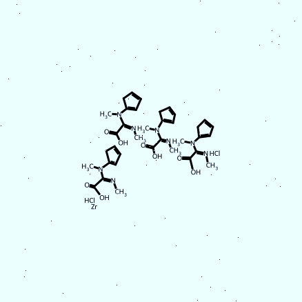 CN=C(C(=O)O)N(C)C1=CC=CC1.CN=C(C(=O)O)N(C)C1=CC=CC1.CN=C(C(=O)O)N(C)C1=CC=CC1.CN=C(C(=O)O)N(C)C1=CC=CC1.Cl.Cl.[Zr]